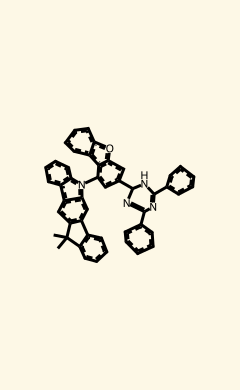 CC1(C)c2ccccc2-c2cc3c(cc21)c1ccccc1n3-c1cc(C2N=C(c3ccccc3)N=C(c3ccccc3)N2)cc2oc3ccccc3c12